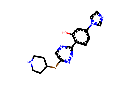 Oc1cc(-n2ccnc2)ccc1-c1ncc(SC2CCNCC2)nn1